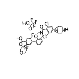 COC(=O)c1cc(F)c(-c2cccc3c2OCN(C(=O)c2c(Cl)cc(N4C5CCC4CNC5)cc2Cl)C3)cc1N1C2CCC1COC2.O=C(O)C(F)(F)F